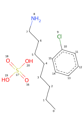 CCCCCCCCN.Clc1ccccc1.O=S(=O)(O)O